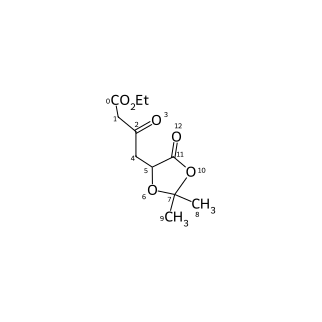 CCOC(=O)CC(=O)CC1OC(C)(C)OC1=O